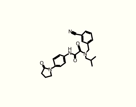 CC(C)CN(Cc1cccc(C#N)c1)C(=O)C(=O)Nc1ccc(N2CCCC2=O)cc1